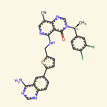 C[C@@H](c1ccc(F)c(F)c1)n1cnc2c(C#N)cnc(NCc3ccc(-c4ccc5ncnc(N)c5c4)s3)c2c1=O